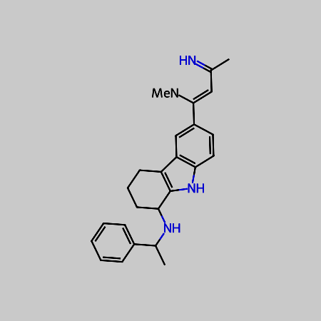 CN/C(=C\C(C)=N)c1ccc2[nH]c3c(c2c1)CCCC3NC(C)c1ccccc1